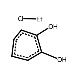 CCCl.Oc1ccccc1O